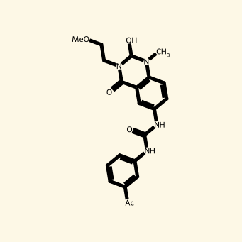 COCCN1C(=O)c2cc(NC(=O)Nc3cccc(C(C)=O)c3)ccc2N(C)C1O